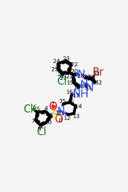 O=S(=O)(c1cc(Cl)cc(Cl)c1)N1CCCC(CNc2cc(-c3ccccc3Cl)nc3c(Br)cnn23)C1